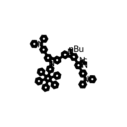 CCCCn1c2ccc(-c3ccc4c(c3)c3cc(-c5ccc(N(c6ccccc6)c6ccccc6)cc5)ccc3n4-c3ccc(-c4c(-c5ccccc5)c(-c5ccccc5)c(-c5ccccc5)c(-c5ccccc5)c4-c4ccccc4)cc3)cc2c2cc(-c3ccc(-c4ccc(N(c5ccccc5)c5ccccc5)cc4)c4nsnc34)ccc21